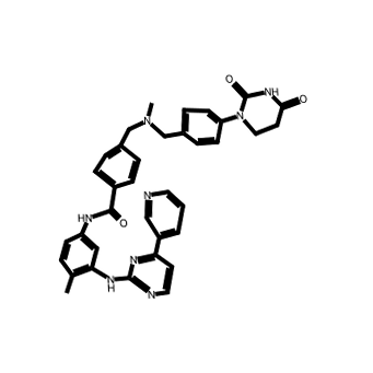 Cc1ccc(NC(=O)c2ccc(CN(C)Cc3ccc(N4CCC(=O)NC4=O)cc3)cc2)cc1Nc1nccc(-c2cccnc2)n1